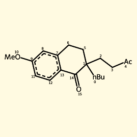 CCCCC1(CCC(C)=O)CCc2cc(OC)ccc2C1=O